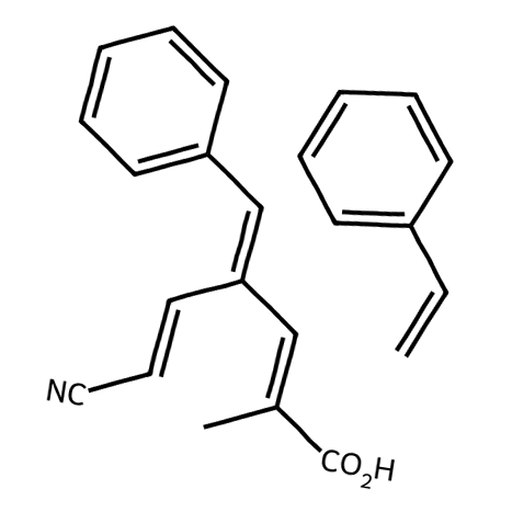 C=Cc1ccccc1.CC(=CC(C=CC#N)=Cc1ccccc1)C(=O)O